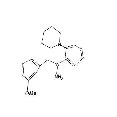 COc1cccc(CN(N)c2ccccc2N2CCCCC2)c1